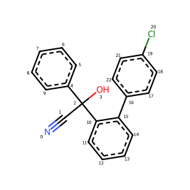 N#CC(O)(c1ccccc1)c1ccccc1-c1ccc(Cl)cc1